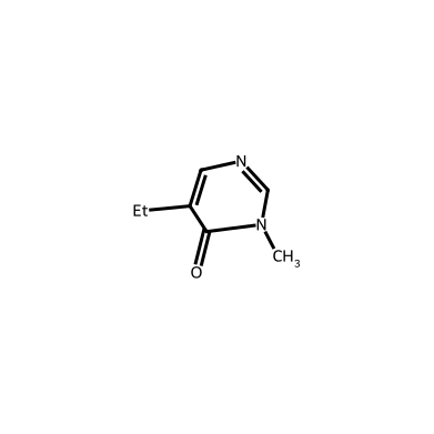 CCc1cncn(C)c1=O